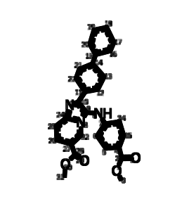 COC(=O)c1ccc(Nc2c(-c3ccc(-c4ccccc4)cc3)nc3ccc(C(=O)OC)cn23)cc1